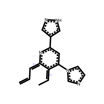 C=C/C=c1/nc(-c2cn[nH]c2)cc(-n2ccnc2)/c1=C/C